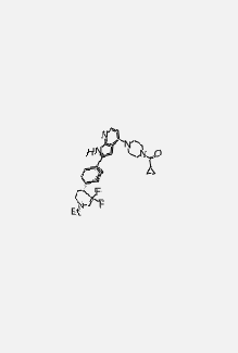 CCN1CC[C@H](c2ccc(-c3cc4c(N5CCN(C(=O)C6CC6)CC5)ccnc4[nH]3)cc2)C(F)(F)C1